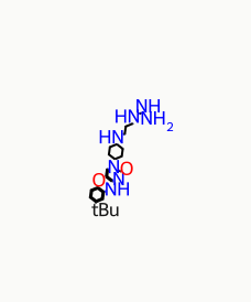 CC(C)(C)c1ccc2c(c1)Nc1nc(=O)n(C3CCC(NCCCNC(=N)N)CC3)cc1O2